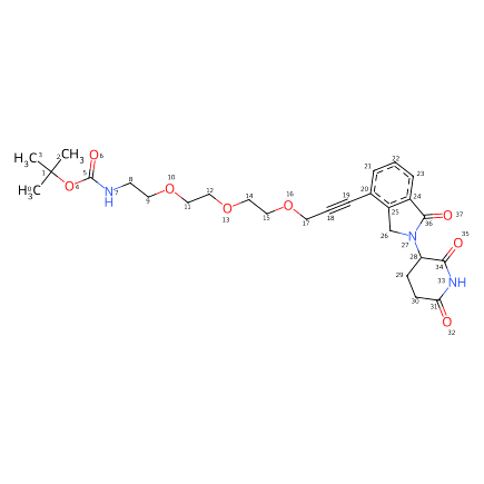 CC(C)(C)OC(=O)NCCOCCOCCOCC#Cc1cccc2c1CN(C1CCC(=O)NC1=O)C2=O